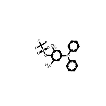 Cc1cc([S+](c2ccccc2)c2ccccc2)cc(C)c1OS(=O)(=O)C(F)(F)F